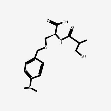 CC(CS)C(=O)N[C@@H](CSCc1ccc(N(C)C)cc1)C(=O)O